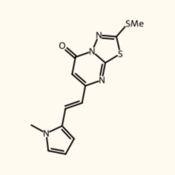 CSc1nn2c(=O)cc(/C=C/c3cccn3C)nc2s1